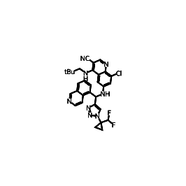 CC(C)(C)CNc1c(C#N)cnc2c(Cl)cc(NC(c3cn(C4(C(F)F)CC4)nn3)c3cccc4cnccc34)cc12